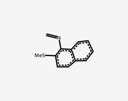 C=Nc1c(SC)ccc2ccccc12